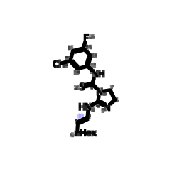 CCCCCC/C=C/NC1=NCCN1C(=S)Nc1cc(F)cc(Cl)c1